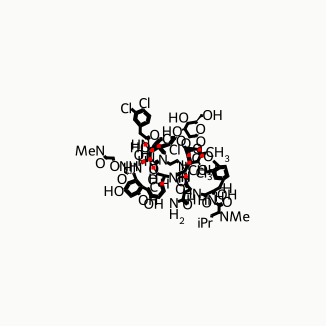 CNC(=O)CONC(=O)[C@@H]1NC(=O)[C@H]2NC(=O)[C@H](NC(=O)[C@@H]3NC(=O)[C@H](CC(N)=O)NC(=O)[C@H](NC(=O)[C@@H](CC(C)C)NC)[C@H](O)c4ccc(c(Cl)c4)Oc4cc3cc(c4O[C@@H]3O[C@H](CO)[C@@H](O)[C@H](O)[C@H]3O[C@H]3C[C@](C)(NCCn4ccc(NC(=O)Cc5ccc(Cl)c(Cl)c5)nc4=O)[C@H](O)C(C)O3)Oc3ccc(cc3Cl)[C@H]2O)c2ccc(O)c(c2)-c2c(O)cc(O)cc21